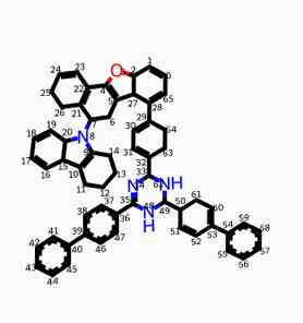 C1=CC2OC3=C(CC(N4C5=C(CCCC5)C5C=CC=CC54)C4=C3C=CCC4)C2C(C2=CC=C(C3N=C(c4ccc(-c5ccccc5)cc4)NC(C4C=CC(c5ccccc5)=CC4)N3)CC2)=C1